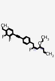 C=C/C=C(\C=C(\F)Cc1ccc(C#Cc2ccc(CC)c(F)c2F)cc1)OCC